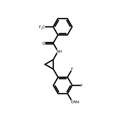 COc1ccc(C2CC2NC(=O)c2ccccc2C(F)(F)F)c(F)c1F